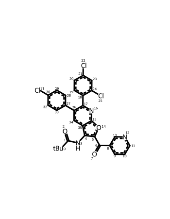 CC(C)(C)C(=O)Nc1c(C(=O)c2cccnc2)oc2nc(-c3ccc(Cl)cc3Cl)c(-c3ccc(Cl)cc3)cc12